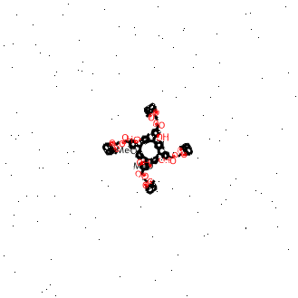 COc1cc(O)c2cc1C(c1ccc(C(=O)OCC(=O)OC3(C)C4CC5CC(C4)CC3C5)cc1)c1cc(c(OC)cc1O)C(c1ccc(C(=O)OCC(=O)OC3(C)C4CC5CC(C4)CC3C5)cc1)c1cc(c(C)cc1O)C(c1ccc(C(=O)OCC(=O)OC3(C)C4CC5CC(C4)CC3C5)cc1)c1cc(c(C)cc1O)C2c1ccc(C(=O)OCC(=O)OC2(C)C3CC4CC(C3)CC2C4)cc1